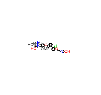 COc1cc(OC2CCc3c(-c4cccc(OCCCN5CC(O)C5)c4Cl)cccc32)cc(OC)c1CNC(C)(CO)C(=O)O